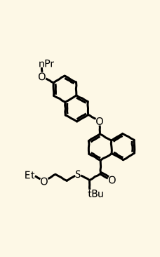 CCCOc1ccc2cc(Oc3ccc(C(=O)C(SCCOCC)C(C)(C)C)c4ccccc34)ccc2c1